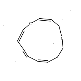 [C]1=CC=CCCCCC=CCC=C1